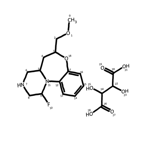 COCC1CC2CNCC(F)N2c2ccccc2O1.O=C(O)C(O)C(O)C(=O)O